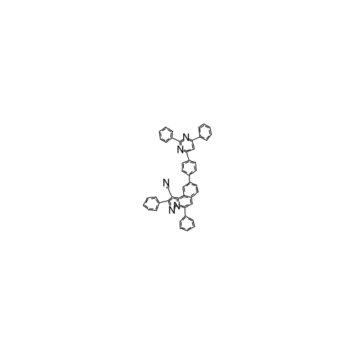 N#Cc1c(-c2ccccc2)nn2c(-c3ccccc3)cc3ccc(-c4ccc(-c5cc(-c6ccccc6)nc(-c6ccccc6)n5)cc4)cc3c12